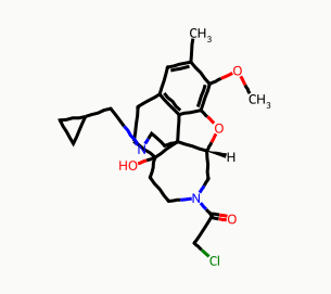 COc1c(C)cc2c3c1O[C@@H]1CN(C(=O)CCl)CCC4(O)C(C2)N(CC2CC2)CCC314